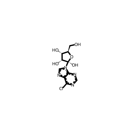 OC[C@H]1O[C@@](O)(n2cnc3c(Cl)ncnc32)[C@H](O)[C@@H]1O